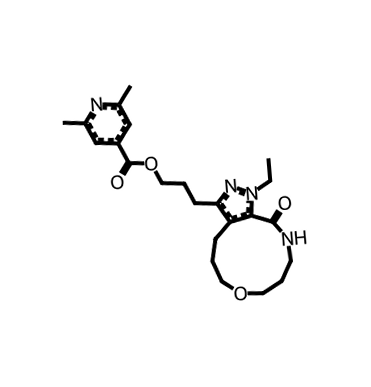 CCn1nc(CCCOC(=O)c2cc(C)nc(C)c2)c2c1C(=O)NCCCOCCC2